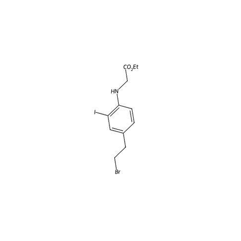 CCOC(=O)CNc1ccc(CCBr)cc1I